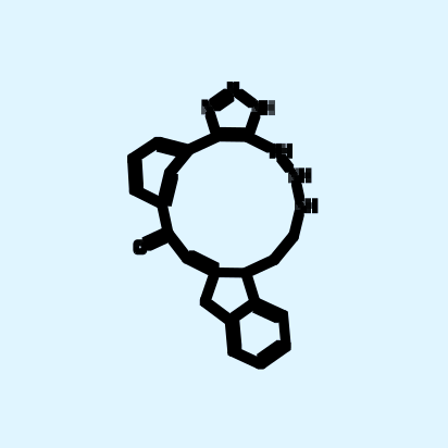 O=C1C=C2Cc3ccccc3C2CCNNNc2[nH]nnc2-c2cccc1c2